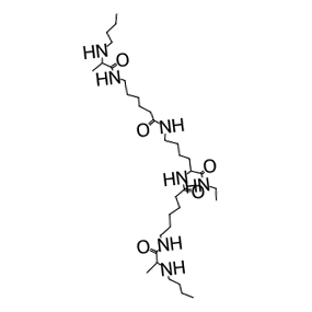 CCCCNC(C)C(=O)NCCCCCC(=O)NCCCCC(NC(=O)CCCCCNC(=O)C(C)NCCCC)C(=O)NCC